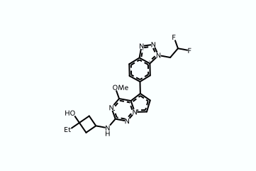 CCC1(O)CC(Nc2nc(OC)c3c(-c4ccc5nnn(CC(F)F)c5c4)ccn3n2)C1